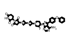 Nc1ncnc2c1c(-c1ccc(Oc3ccccc3)cc1)nn2[C@@H]1CCN(C2CN(C3CN(C4CC(=O)N(C5CCC(=O)NC5=O)C4=O)C3)C2)C[C@@H]1F